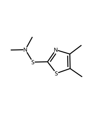 Cc1nc(SN(C)C)sc1C